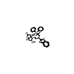 CC(C)(C[C@H](/C=C/[C@@H]1[C@H]2CC(=O)O[C@H]2C[C@H]1O)c1nc2ccccc2s1)[Si](O)(c1ccccc1)c1ccccc1